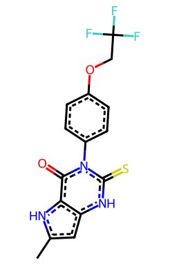 Cc1cc2[nH]c(=S)n(-c3ccc(OCC(F)(F)F)cc3)c(=O)c2[nH]1